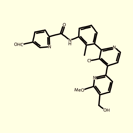 COc1nc(-c2ccnc(-c3cccc(NC(=O)c4ccc(C=O)cn4)c3C)c2Cl)ccc1CO